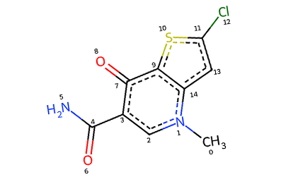 Cn1cc(C(N)=O)c(=O)c2sc(Cl)cc21